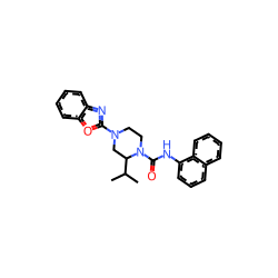 CC(C)C1CN(c2nc3ccccc3o2)CCN1C(=O)Nc1cccc2ccccc12